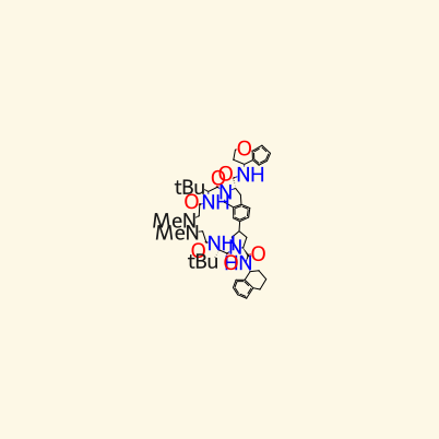 CNCC(=O)NC(C(=O)N1Cc2cc(C3C[C@@H](C(=O)NC4CCCc5ccccc54)N(C(=O)[C@@H](NC(=O)CNC)C(C)(C)C)C3)ccc2C[C@H]1C(=O)NC1CCOc2ccccc21)C(C)(C)C